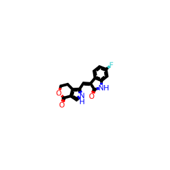 O=C1Nc2cc(F)ccc2/C1=C/c1[nH]cc2c1CCOC2=O